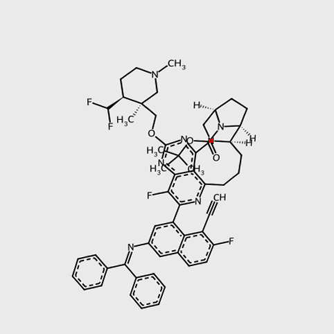 C#Cc1c(F)ccc2cc(N=C(c3ccccc3)c3ccccc3)cc(-c3nc4c5c(nc(OC[C@]6(C)CN(C)CC[C@@H]6C(F)F)nc5c3F)N3C[C@H]5CC[C@@H]([C@H]3CCC4)N5C(=O)OC(C)(C)C)c12